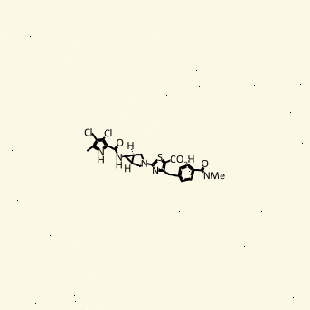 CNC(=O)c1ccc(Cc2nc(N3C[C@@H]4[C@H](C3)[C@@H]4NC(=O)c3[nH]c(C)c(Cl)c3Cl)sc2C(=O)O)cc1